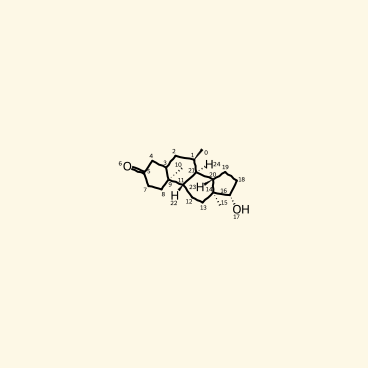 C[C@@H]1CC2CC(=O)CC[C@]2(C)[C@H]2CC[C@]3(C)[C@@H](O)CC[C@H]3[C@H]12